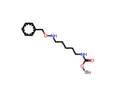 CC(C)(C)OC(=O)NCCCCCNOCc1ccccc1